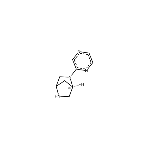 c1cnc(N2CC3C[C@@H]2CN3)cn1